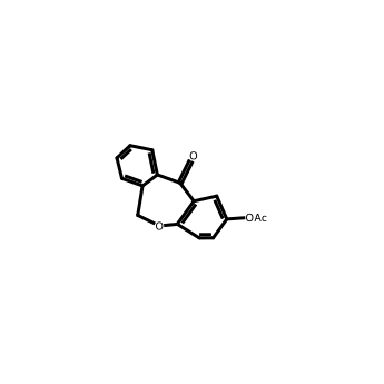 CC(=O)Oc1ccc2c(c1)C(=O)c1ccccc1CO2